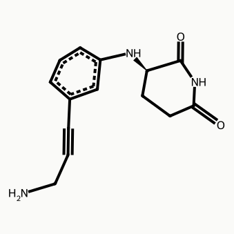 NCC#Cc1cccc(N[C@@H]2CCC(=O)NC2=O)c1